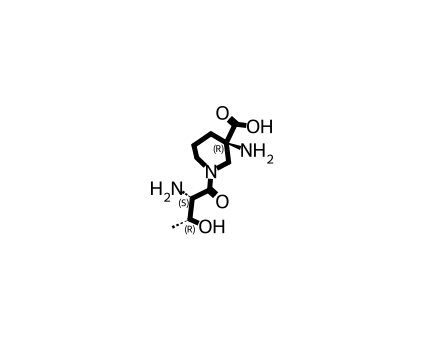 C[C@@H](O)[C@H](N)C(=O)N1CCC[C@](N)(C(=O)O)C1